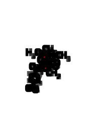 C=C(C)C(=O)OC(C(=O)C(=C)C)(C(=O)C(=C)C)C(CO)(CO)COC(=O)c1ccc([N+](=O)[O-])cc1